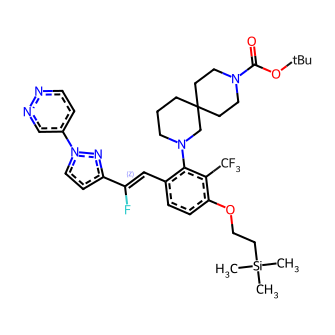 CC(C)(C)OC(=O)N1CCC2(CCCN(c3c(/C=C(\F)c4ccn(-c5ccnnc5)n4)ccc(OCC[Si](C)(C)C)c3C(F)(F)F)C2)CC1